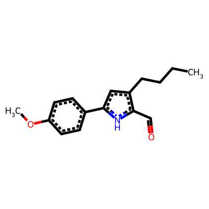 CCCCc1cc(-c2ccc(OC)cc2)[nH]c1C=O